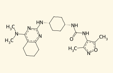 Cc1noc(C)c1NC(=O)N[C@H]1CC[C@@H](Nc2nc3c(c(N(C)C)n2)CCCC3)CC1